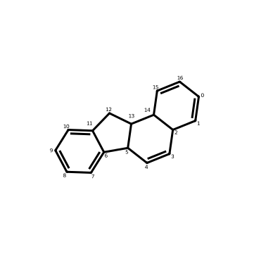 C1=CC2C=CC3c4ccccc4CC3C2C=C1